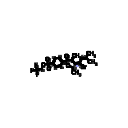 C=C(/C=C(/Br)C=C(C)C)P(=O)(OCC)c1ccc(S(=O)(=O)OCC(F)(F)F)cc1